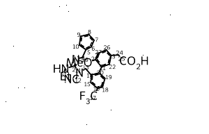 CCNC(=NCc1ccccc1)N(C#N)Cc1cc(C(F)(F)F)ccc1-c1cc(CC(=O)O)ccc1OC